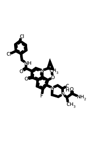 COc1c(N2CCN(C(C)C(N)=O)C(C)C2)c(F)cc2c(=O)c(C(=O)NCc3ccc(Cl)cc3Cl)cn(C3CC3)c12